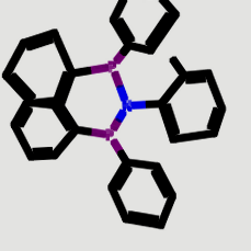 Cc1ccccc1N(P(c1ccccc1)c1ccccc1)P(c1ccccc1)c1ccccc1